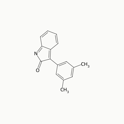 Cc1cc(C)cc(C2=c3ccccc3=NC2=O)c1